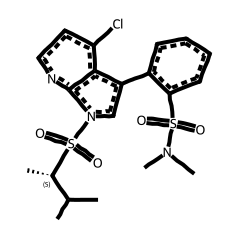 CC(C)[C@H](C)S(=O)(=O)n1cc(-c2ccccc2S(=O)(=O)N(C)C)c2c(Cl)ccnc21